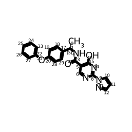 C[C@H](NC(=O)c1cnc(-n2cccn2)nc1O)c1ccc(Oc2ccccc2)cc1